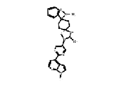 Cn1ccc2c(-c3ncc(N4C[C@]5(CC[C@](c6ccccc6)(N(C)C)CC5)NC4O)cn3)ccnc21